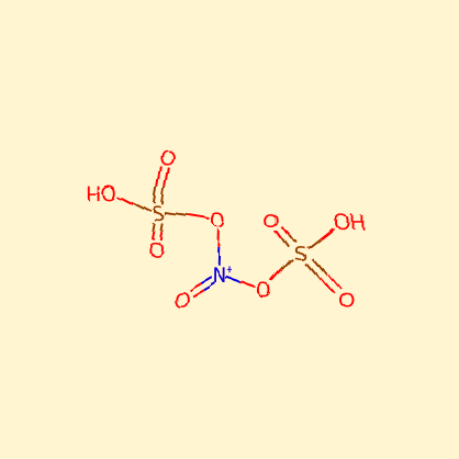 O=[N+](OS(=O)(=O)O)OS(=O)(=O)O